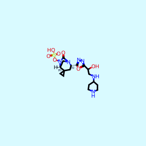 O=C1N2C[C@H](N1OS(=O)(=O)O)C1(CC1)C[C@H]2c1nnc(C(O)CNC2CCNCC2)o1